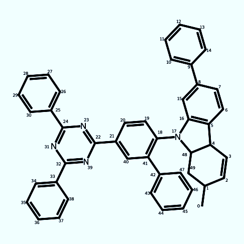 CC1C=CC2c3ccc(-c4ccccc4)cc3N(c3ccc(-c4nc(-c5ccccc5)nc(-c5ccccc5)n4)cc3-c3ccccc3)C2C1